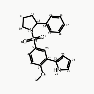 COc1ccc(S(=O)(=O)N2CCCC2c2ccccc2)cc1-c1ccc[nH]1